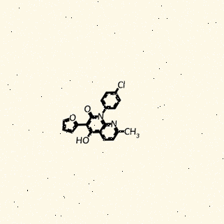 Cc1ccc2c(O)c(-c3ccco3)c(=O)n(-c3ccc(Cl)cc3)c2n1